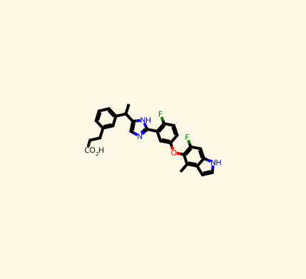 Cc1c(Oc2ccc(F)c(-c3ncc(C(C)c4cccc(CCC(=O)O)c4)[nH]3)c2)c(F)cc2[nH]ccc12